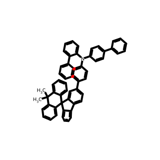 CC1(C)c2ccccc2C2(c3ccccc3-c3ccc(-c4ccc(N(c5ccc(-c6ccccc6)cc5)c5ccccc5-c5ccccc5)cc4)cc32)c2ccccc21